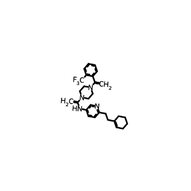 C=C(Nc1ccc(CCC2=CCCCC2)nc1)N1CCN(C(=C)c2ccccc2C(F)(F)F)CC1